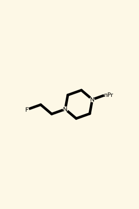 CCCN1CCN(CCF)CC1